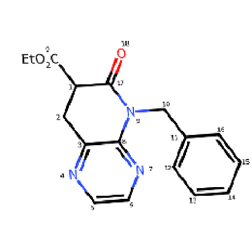 CCOC(=O)C1Cc2nccnc2N(Cc2ccccc2)C1=O